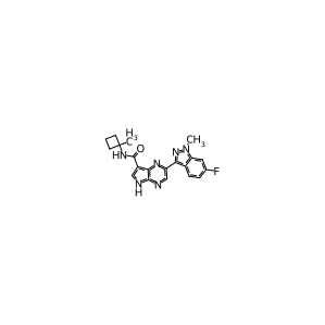 Cn1nc(-c2cnc3[nH]cc(C(=O)NC4(C)CCC4)c3n2)c2ccc(F)cc21